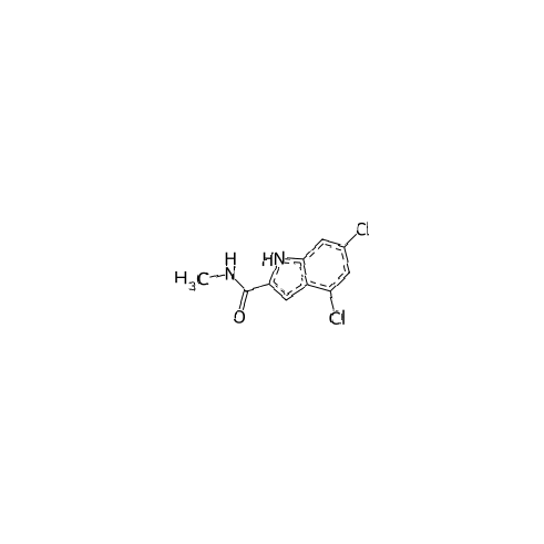 CNC(=O)c1cc2c(Cl)cc(Cl)cc2[nH]1